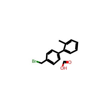 Cc1ccccc1-c1ccc(CBr)cc1.O=CO